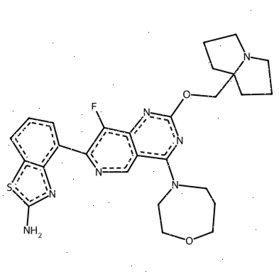 Nc1nc2c(-c3ncc4c(N5CCCOCC5)nc(OCC56CCCN5CCC6)nc4c3F)cccc2s1